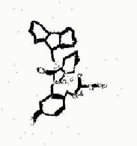 CC(C)(C)OC(=O)NCc1ccc(Cl)cc1CNC(=O)[C@@]1(CC2c3ccccc3-c3ccccc32)CCCCN1C(=O)O